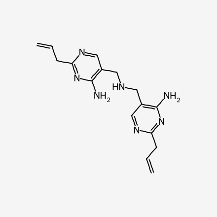 C=CCc1ncc(CNCc2cnc(CC=C)nc2N)c(N)n1